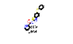 COc1ccnc(C(=O)Nc2nc3ccc(Sc4ccccc4)cc3s2)c1OC(C)=O